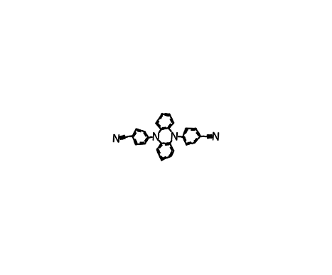 N#Cc1ccc(N2c3ccccc3N(c3ccc(C#N)cc3)c3ccccc32)cc1